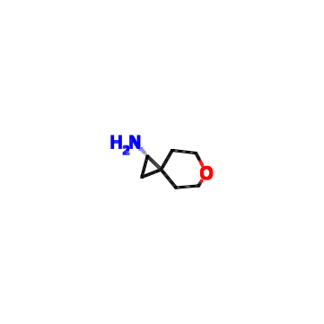 N[C@H]1CC12CCOCC2